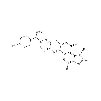 C=N/C=C(F)\C(=N/c1ccc(C(SC)C2CCN(CC)CC2)cn1)c1cc(F)c2nc(C)n(C(C)C)c2c1